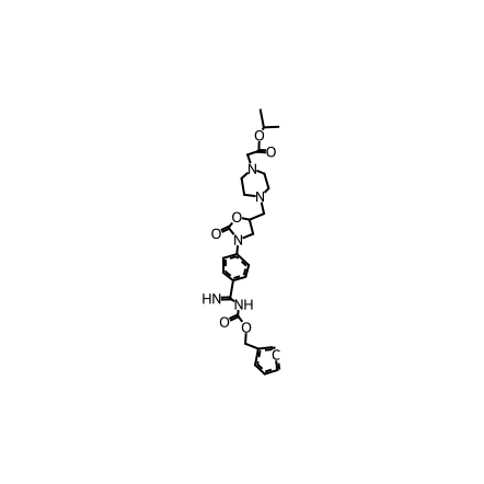 CC(C)OC(=O)CN1CCN(CC2CN(c3ccc(C(=N)NC(=O)OCc4ccccc4)cc3)C(=O)O2)CC1